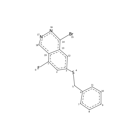 Fc1cc(SCc2ccccc2)cc2c(Br)nncc12